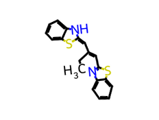 CCC(/C=C1/Nc2ccccc2S1)=C\c1nc2ccccc2s1